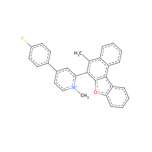 Cc1c(-c2cc(-c3ccc(F)cc3)cc[n+]2C)c2oc3ccccc3c2c2ccccc12